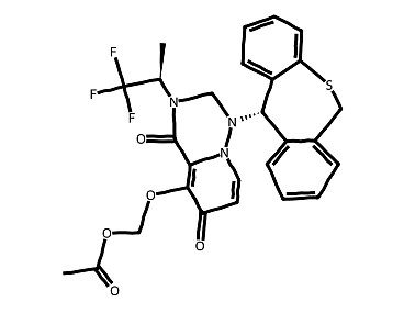 CC(=O)OCOc1c2n(ccc1=O)N([C@H]1c3ccccc3CSc3ccccc31)CN([C@H](C)C(F)(F)F)C2=O